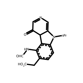 CCCN1C2=CN=CC(=O)C2c2c1ccc(CC(=O)O)c2NC=O